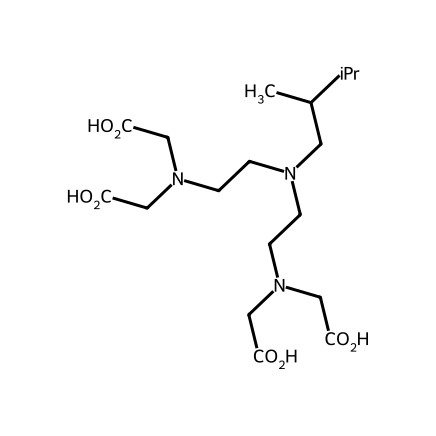 CC(C)C(C)CN(CCN(CC(=O)O)CC(=O)O)CCN(CC(=O)O)CC(=O)O